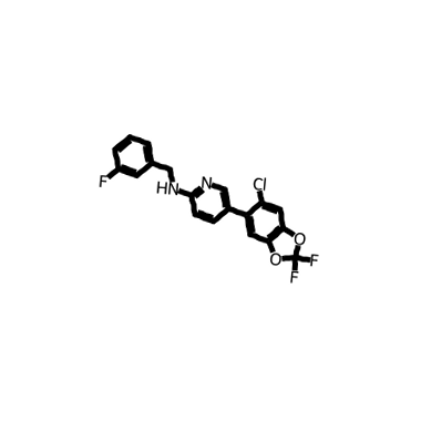 Fc1cccc(CNc2ccc(-c3cc4c(cc3Cl)OC(F)(F)O4)cn2)c1